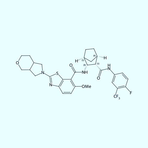 COc1ccc2nc(N3CC4CCOCC4C3)sc2c1C(=O)N[C@@H]1[C@H]2CC[C@H](C2)[C@@H]1C(=O)Nc1ccc(F)c(C(F)(F)F)c1